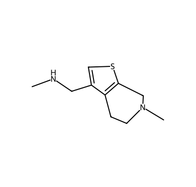 CNCc1csc2c1CCN(C)C2